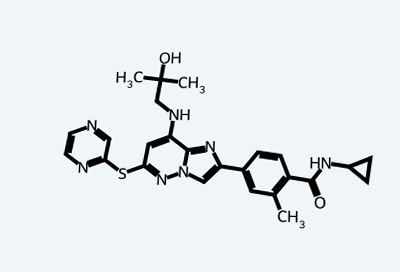 Cc1cc(-c2cn3nc(Sc4cnccn4)cc(NCC(C)(C)O)c3n2)ccc1C(=O)NC1CC1